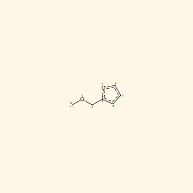 [C]OCc1ccco1